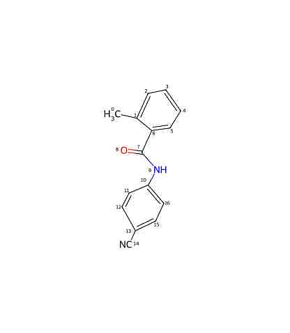 Cc1ccccc1C(=O)Nc1ccc(C#N)cc1